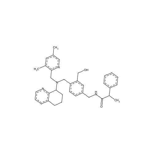 Cc1cnc(CN(Cc2ccc(CNC(=O)C(C)c3ccccc3)cc2CO)C2CCCc3cccnc32)c(C)c1